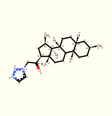 C[C@H]1CC[C@@H]2C3CC[C@@]4(C)[C@@H]([C@H](C)C[C@@H]4C(=O)Cn4ccnn4)[C@@H]3CC[C@@H]2C1